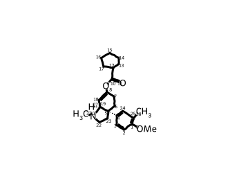 COc1ccc([C@@]23CCC(OC(=O)C4CCCCC4)=C[C@@H]2N(C)CC3)cc1C